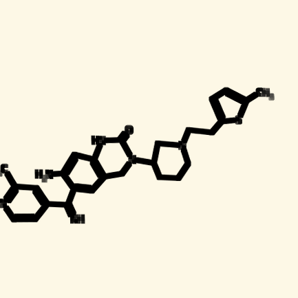 Cc1cc(C(=N)c2cc3c(cc2N)NC(=O)N(C2CCCN(CCc4ccc(C)s4)C2)C3)ccn1